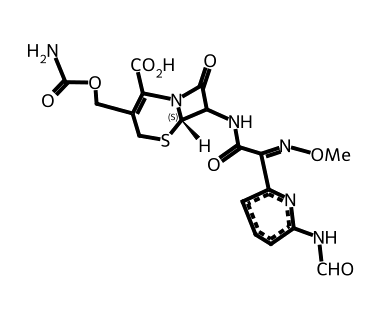 CON=C(C(=O)NC1C(=O)N2C(C(=O)O)=C(COC(N)=O)CS[C@@H]12)c1cccc(NC=O)n1